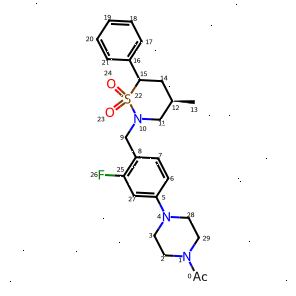 CC(=O)N1CCN(c2ccc(CN3C[C@H](C)CC(c4ccccc4)S3(=O)=O)c(F)c2)CC1